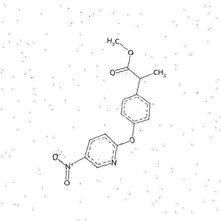 COC(=O)C(C)c1ccc(Oc2ccc([N+](=O)[O-])cn2)cc1